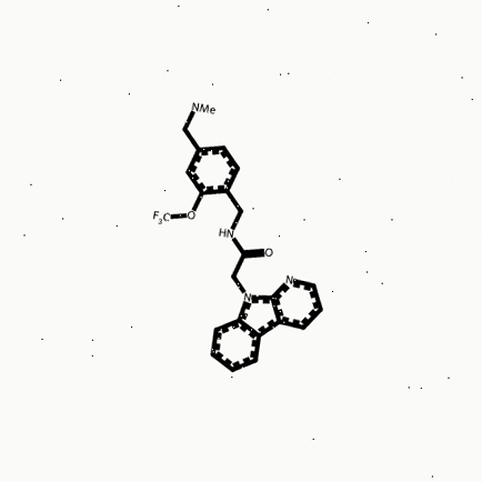 CNCc1ccc(CNC(=O)Cn2c3ccccc3c3cccnc32)c(OC(F)(F)F)c1